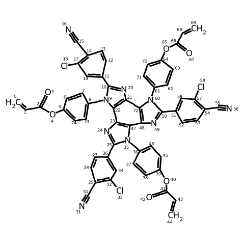 C=CC(=O)Oc1ccc(-n2c(-c3ccc(C#N)c(Cl)c3)nc3c2c2nc(-c4ccc(C#N)c(Cl)c4)n(-c4ccc(OC(=O)C=C)cc4)c2c2nc(-c4ccc(C#N)c(Cl)c4)n(-c4ccc(OC(=O)C=C)cc4)c32)cc1